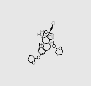 C[C@]12CC[C@@H]3c4ccc(OC5CCCCO5)cc4C[C@@H](OC4CCCCO4)[C@H]3[C@@H]1CC[C@@]2(O)C#CCl